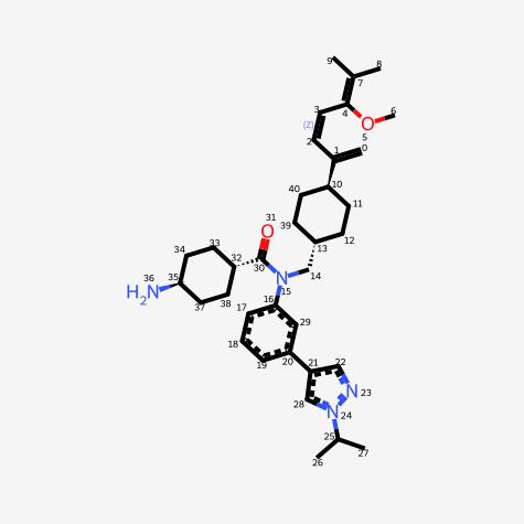 C=C(/C=C\C(OC)=C(C)C)[C@H]1CC[C@H](CN(c2cccc(-c3cnn(C(C)C)c3)c2)C(=O)[C@H]2CC[C@H](N)CC2)CC1